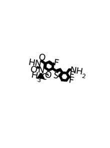 COC1c2c(c(=O)[nH]c(=O)n2C2CC2)C=C(F)C1c1cc2c(s1)CCC(F)(F)C2CN